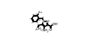 C=Cc1c(N)c(C(=O)O)nn1Cc1ccccc1F